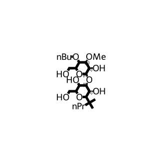 CCCCOC1C(CO)O[C@H](O[C@@H]2C(O)C(CO)OC(C(C)(C)CCC)[C@H]2O)[C@H](O)[C@@H]1OC